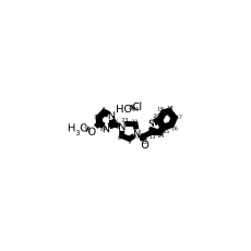 COc1ccnc(N2CCN(C(=O)c3cc4ccccc4s3)CC2)n1.OCl